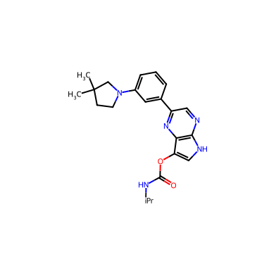 CC(C)NC(=O)Oc1c[nH]c2ncc(-c3cccc(N4CCC(C)(C)C4)c3)nc12